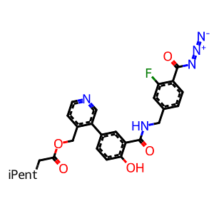 CCCC(C)CC(=O)OCc1ccncc1-c1ccc(O)c(C(=O)NCc2ccc(C(=O)N=[N+]=[N-])c(F)c2)c1